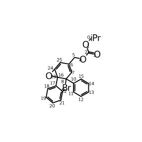 CC(C)OC(=O)OCC1=[C]C(Br)(c2ccccc2)C2(c3ccccc3)OC2=C1